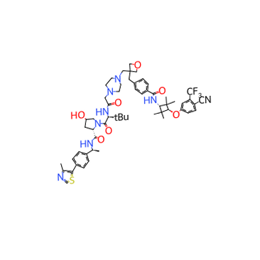 Cc1ncsc1-c1ccc([C@H](C)NC(=O)[C@@H]2C[C@@H](O)CN2C(=O)[C@@H](NC(=O)CN2CCN(CC3(Cc4ccc(C(=O)N[C@H]5C(C)(C)[C@H](Oc6ccc(C#N)c(C(F)(F)F)c6)C5(C)C)cc4)COC3)CC2)C(C)(C)C)cc1